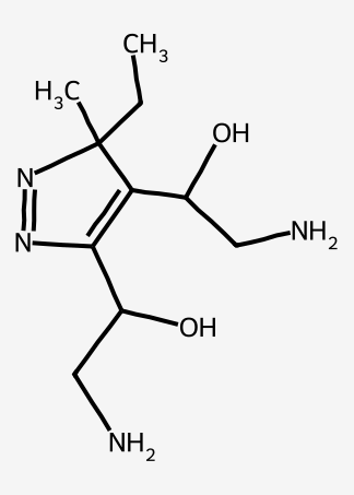 CCC1(C)N=NC(C(O)CN)=C1C(O)CN